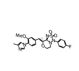 COc1cc(/C=C2\OCCN3C2=NS(=O)(=O)N3c2ccc(F)cc2)ccc1-n1cnc(C)c1